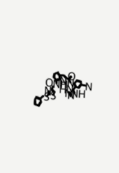 N#Cc1ccc(NC(=O)c2cc3cccc(NC(=O)c4csc(SCc5ccccc5)n4)c3[nH]2)c(-c2nnn[nH]2)c1